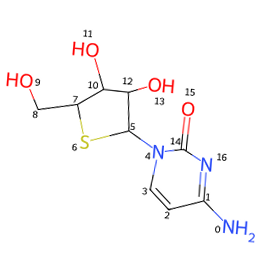 Nc1ccn(C2SC(CO)C(O)C2O)c(=O)n1